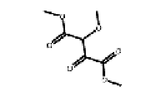 COC(=O)C(=O)C(OC)C(=O)OC